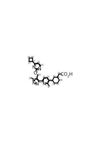 Cc1nc(-c2nnn(C)c2COc2nccc(C3CCC3)n2)ccc1C1CCCC(CC(=O)O)C1